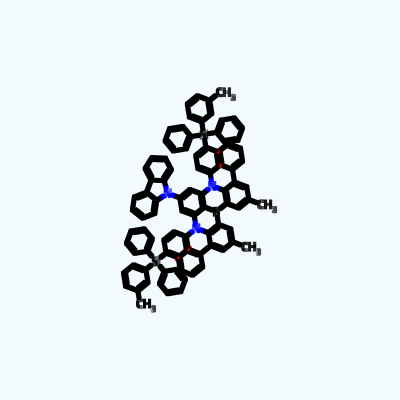 Cc1cccc([Si](c2ccccc2)(c2ccccc2)c2ccc(N3c4cc(-n5c6ccccc6c6ccccc65)cc5c4B(c4cc(C)cc(-c6ccccc6)c43)c3cc(C)cc(-c4ccccc4)c3N5c3ccc([Si](c4ccccc4)(c4ccccc4)c4cccc(C)c4)cc3)cc2)c1